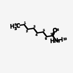 CCCCCCCC(=O)NI